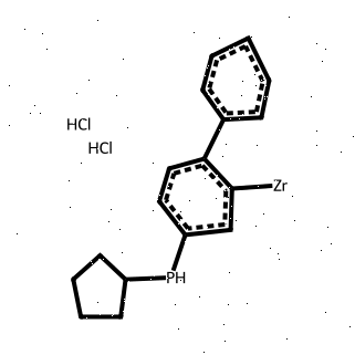 Cl.Cl.[Zr][c]1cc(PC2CCCC2)ccc1-c1ccccc1